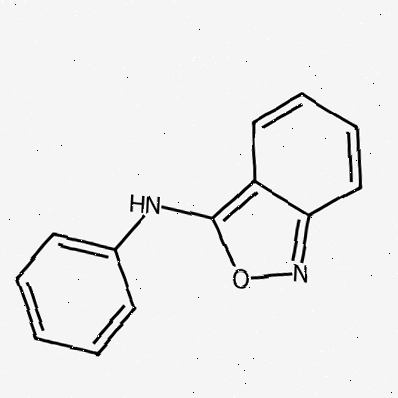 c1ccc(Nc2onc3ccccc23)cc1